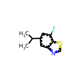 CC(C)c1cc(F)c2scnc2c1